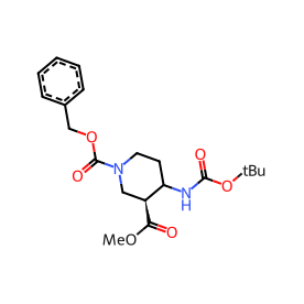 COC(=O)[C@H]1CN(C(=O)OCc2ccccc2)CCC1NC(=O)OC(C)(C)C